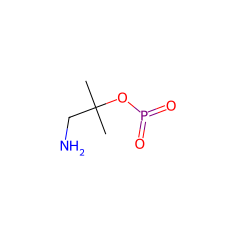 CC(C)(CN)OP(=O)=O